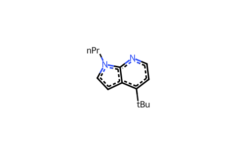 CCCn1ccc2c(C(C)(C)C)ccnc21